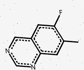 Fc1cc2cncnc2cc1F